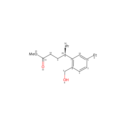 CCc1ccc(CO)c([C@@H](CCC(=O)OC)C(C)C)c1